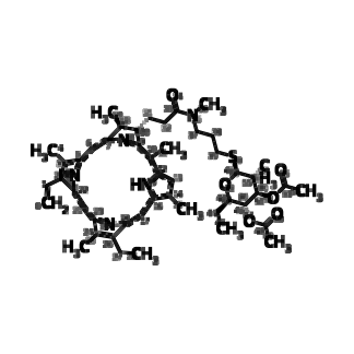 C=Cc1c(C)c2cc3nc(c(C)c4cc(C)c(cc5nc(cc1[nH]2)C(C)=C5CC)[nH]4)[C@@H](CCC(=O)N(C)CCCS[C@@H]1O[C@H](CC)[C@@H](OC(C)=O)[C@H](OC(C)=O)[C@H]1C)[C@@H]3C